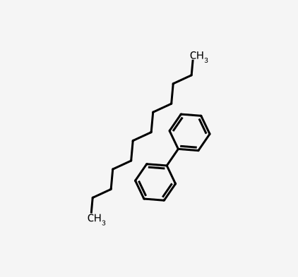 CCCCCCCCCCCC.c1ccc(-c2ccccc2)cc1